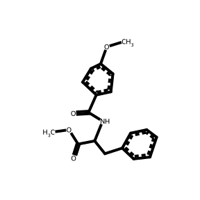 COC(=O)C(Cc1ccccc1)NC(=O)c1ccc(OC)cc1